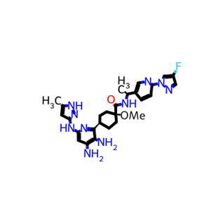 CO[C@]1(C(=O)N[C@@H](C)c2ccc(-n3cc(F)cn3)nc2)CC[C@H](c2nc(Nc3cc(C)[nH]n3)cc(N)c2N)CC1